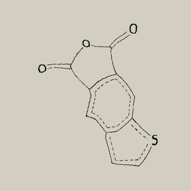 O=C1OC(=O)c2cc3sccc3cc21